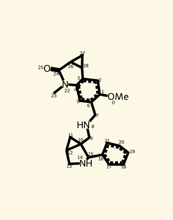 COc1cc2c(cc1CNCC13CC1CNC3c1ccccc1)N(C)C(=O)C1CC21